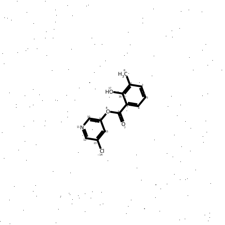 Cc1cccc(C(=O)Oc2cncc(Cl)c2)c1O